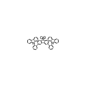 O=S1(=O)c2ccc(-c3ccccc3-n3c4ccccc4c4ccccc43)cc2-c2cc(-c3ccccc3-n3c4ccccc4c4ccccc43)ccc21